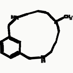 [CH2]N1CCCNCc2cccc(c2)CNCCC1